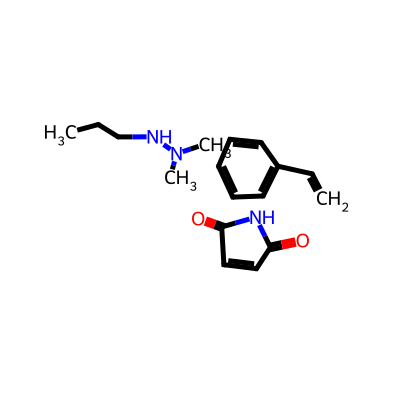 C=Cc1ccccc1.CCCNN(C)C.O=C1C=CC(=O)N1